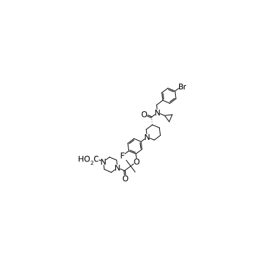 CC(C)(Oc1cc(N2CCC[C@@H](C(=O)N(Cc3ccc(Br)cc3)C3CC3)C2)ccc1F)C(=O)N1CCN(C(=O)O)CC1